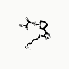 CCCCCSc1nonc1C1=CCCN(C)C1.O=C(O)C(=O)O